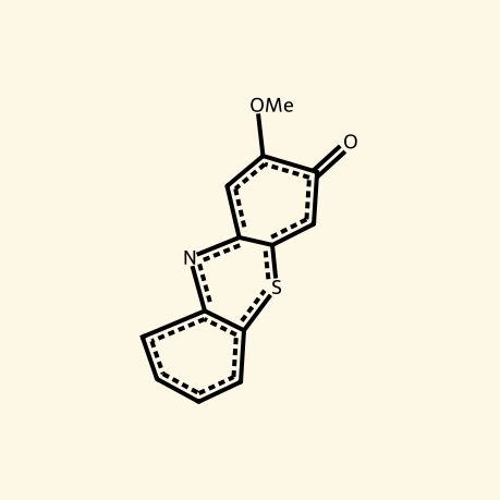 COc1cc2nc3ccccc3sc-2cc1=O